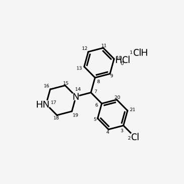 Cl.Cl.Clc1ccc(C(c2ccccc2)N2CCNCC2)cc1